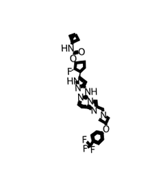 O=C(NC12CC(C1)C2)O[C@H]1CC[C@@H](c2cc(Nc3nccc4nc(CN5CC(Oc6ccc(C(F)(F)F)cc6)C5)cn34)n[nH]2)[C@@H]1F